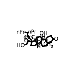 CCCC(CCC)C(=O)O[C@@]1(C(=O)CO)CC[C@H]2[C@@H]3CCC4=CC(=O)CC[C@]4(C)[C@H]3[C@@H](O)C[C@@]21C